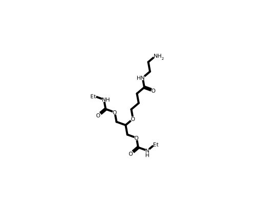 CCNC(=O)OCC(COC(=O)NCC)OCCCC(=O)NCCN